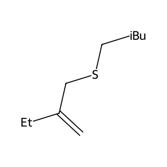 C=C(CC)CSCC(C)CC